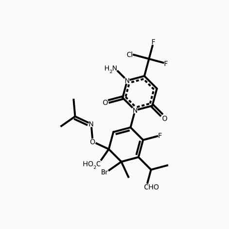 CC(C)=NOC1(C(=O)O)C=C(n2c(=O)cc(C(F)(F)Cl)n(N)c2=O)C(F)=C(C(C)C=O)C1(C)Br